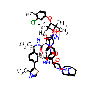 Cc1ncsc1-c1ccc([C@H](C)NC(=O)[C@@H]2C[C@@H](O)CN2C(=O)C(NC(=O)CN2CC3CCC(C2)N3CCCc2ccc(C(=O)N[C@H]3C(C)(C)[C@H](Oc4ccc(C#N)c(Cl)c4)C3(C)C)cc2)C(C)(C)C)cc1